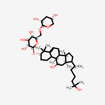 C[C@H](CCCC(C)(C)O)C1CC[C@@]2(C)C3CC=C4C(CC[C@H](O[C@@H]5O[C@H](CO[C@@H]6OC[C@@H](O)C[C@H]6O)[C@@H](O)[C@H](O)[C@H]5O)C4(C)C)[C@]3(C)[C@H](O)C[C@]12C